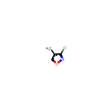 Cc1conc1Cl